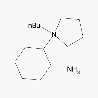 CCCC[N+]1(C2CCCCC2)CCCC1.N